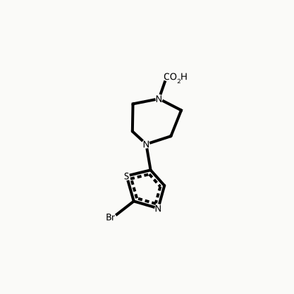 O=C(O)N1CCN(c2cnc(Br)s2)CC1